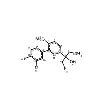 COc1ccc(C(O)(CN)CF)nc1-c1ccc(F)c(Cl)c1